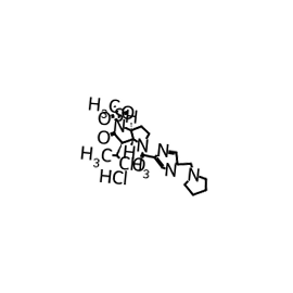 CC(C)[C@H]1C(=O)N(S(C)(=O)=O)[C@H]2CCN(C(=O)c3cnc(CN4CCCC4)cn3)[C@H]12.Cl